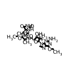 CCOc1nc(N)nc2c1ncn2[C@@H]1O[C@H](COP(=O)(N[C@H](C)C(=O)OC(C)C)SC[C@@H]2NC(=O)NC2=O)[C@@H](O)[C@@]1(C)F